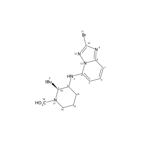 CC(C)(C)[C@H]1C(Nc2cccc3nc(Br)nn23)CCCN1C(=O)O